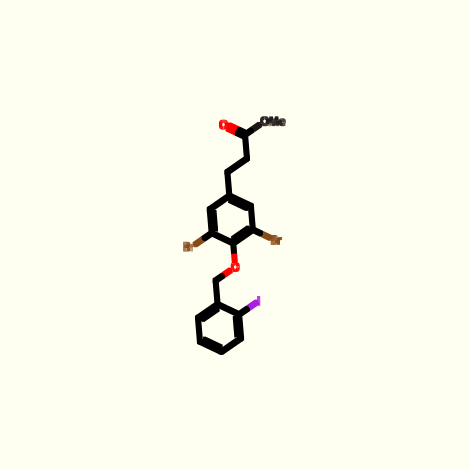 COC(=O)CCc1cc(Br)c(OCc2ccccc2I)c(Br)c1